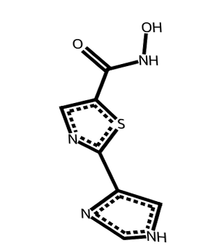 O=C(NO)c1cnc(-c2c[nH]cn2)s1